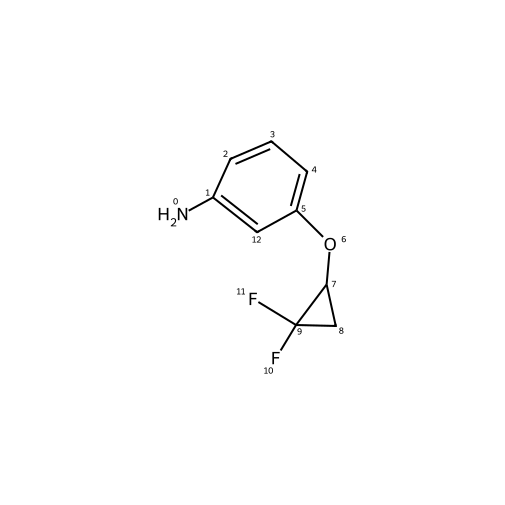 Nc1cccc(OC2CC2(F)F)c1